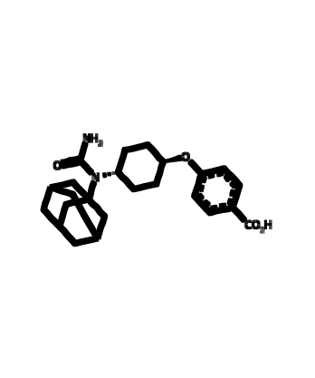 NC(=O)N([C@H]1CC[C@H](Oc2ccc(C(=O)O)cc2)CC1)C12CC3CC(CC(C3)C1)C2